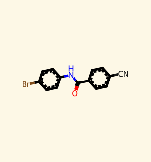 N#Cc1ccc(C(=O)Nc2ccc(Br)cc2)cc1